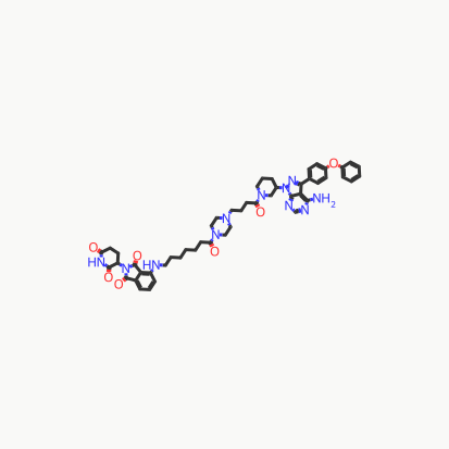 Nc1ncnc2c1c(-c1ccc(Oc3ccccc3)cc1)nn2C1CCCN(C(=O)CCCN2CCN(C(=O)CCCCCCNc3cccc4c3C(=O)N(C3CCC(=O)NC3=O)C4=O)CC2)C1